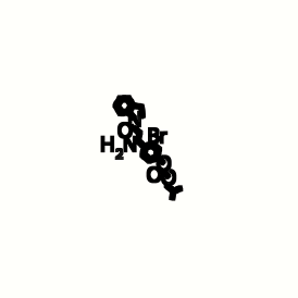 CC(C)COC(=O)Oc1ccc(C(N)CC(=O)N2CCc3ccccc32)c(Br)c1